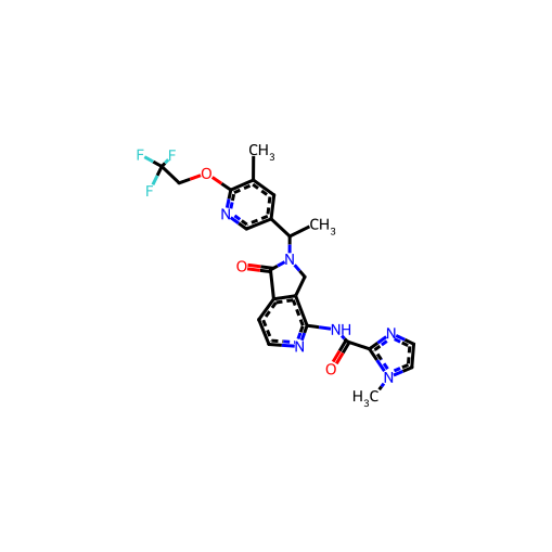 Cc1cc(C(C)N2Cc3c(ccnc3NC(=O)c3nccn3C)C2=O)cnc1OCC(F)(F)F